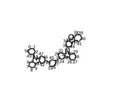 c1ccc(-n2c3ccccc3c3cc(-c4cccc(-c5ccc6c(c5)c5ccccc5n6-c5ccc6oc7ccccc7c6c5)c4)ccc32)cc1